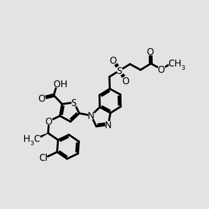 COC(=O)CCS(=O)(=O)Cc1ccc2ncn(-c3cc(O[C@H](C)c4ccccc4Cl)c(C(=O)O)s3)c2c1